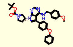 COc1ccc(CNc2ncnc3c2c(-c2ccc(Oc4ccccc4)cc2)cn3[C@@H]2CCN(C(=O)OC(C)(C)C)C2)cc1